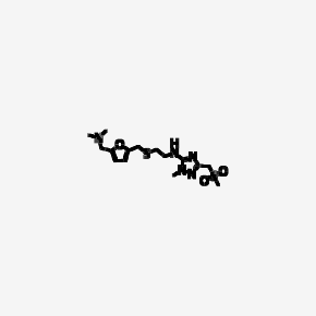 CN(C)Cc1ccc(CSCCNc2nc(CS(C)(=O)=O)nn2C)o1